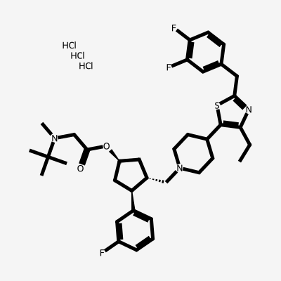 CCc1nc(Cc2ccc(F)c(F)c2)sc1C1CCN(C[C@H]2C[C@H](OC(=O)CN(C)C(C)(C)C)C[C@@H]2c2cccc(F)c2)CC1.Cl.Cl.Cl